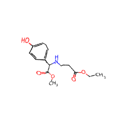 CCOC(=O)CCNC(C(=O)OC)c1ccc(O)cc1